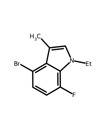 CCn1cc(C)c2c(Br)ccc(F)c21